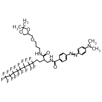 CN(C)c1ccc(N=Nc2ccc(C(=O)NCC(CCC(F)(F)C(F)(F)C(F)(F)C(F)(F)C(F)(F)C(F)(F)C(F)(F)C(F)(F)F)C(=O)NCCCOCC3COC(C)(C)O3)cc2)cc1